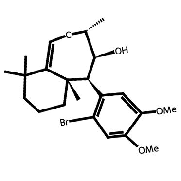 COc1cc(Br)c([C@@H]2[C@H](O)[C@@H](C)CC=C3C(C)(C)CCC[C@]32C)cc1OC